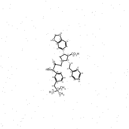 CCCCN(C(=O)CN1C[C@H](c2ccc3c(c2)OCO3)[C@@H](C(=O)O)[C@@H]1CCc1ccncn1)c1cccc(C[N+](C)(C)C)c1